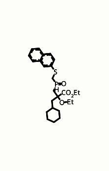 CCOC(=O)C(CC1CCCCC1)(C[PH](=O)CSc1ccc2ccccc2c1)OCC